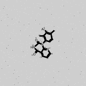 CC(=O)c1c(C)ccc(-n2c(=O)[nH]c(=O)c3cccnc32)c1C